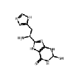 N[C@@H](Cc1cnc[nH]1)c1nc2c([nH]1)C(=O)NC(S)N2